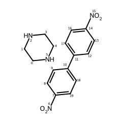 C1CNCCN1.O=[N+]([O-])c1ccc(-c2ccc([N+](=O)[O-])cc2)cc1